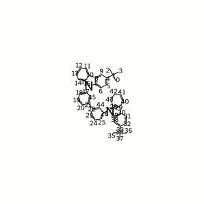 CC(C)(C)c1ccc2c(c1)c1ccccc1n2-c1cccc(-c2cccc(-n3c4c(c5ccc(C(C)(C)C)cc53)C=CCC4)c2)c1